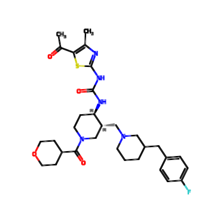 CC(=O)c1sc(NC(=O)N[C@@H]2CCN(C(=O)C3CCOCC3)C[C@H]2CN2CCCC(Cc3ccc(F)cc3)C2)nc1C